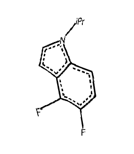 CC(C)n1ccc2c(F)c(F)ccc21